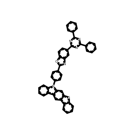 c1ccc(-c2nc(-c3ccccc3)nc(-c3ccc4oc(-c5ccc(-n6c7ccccc7c7cc8c(cc76)sc6ccccc68)cc5)nc4c3)n2)cc1